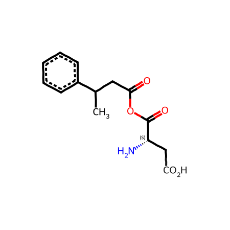 CC(CC(=O)OC(=O)[C@@H](N)CC(=O)O)c1ccccc1